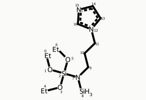 CCO[Si](OCC)(OCC)N([SiH3])CCCn1ccnc1